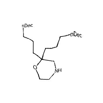 CCCCCCCCCCCCCC1(CCCCCCCCCCCCC)CNCCO1